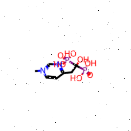 C[n+]1ccc(CC(O)(P(=O)(O)O)P(=O)(O)O)nc1